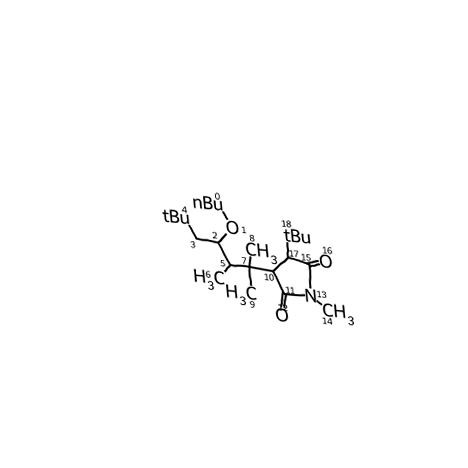 CCCCOC(CC(C)(C)C)C(C)C(C)(C)C1C(=O)N(C)C(=O)C1C(C)(C)C